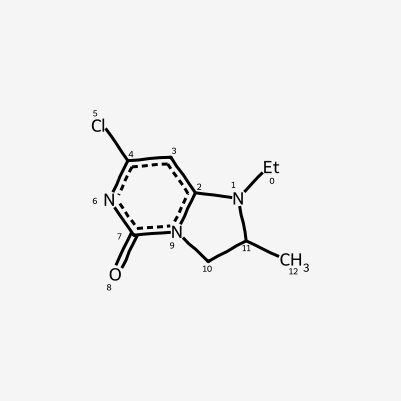 CCN1c2cc(Cl)nc(=O)n2CC1C